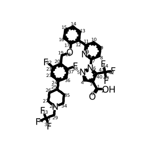 O=C(O)c1cnn(-c2cccc(-c3ccccc3OCc3c(F)cc(C4CCN(CC(F)(F)F)CC4)cc3F)n2)c1C(F)(F)F